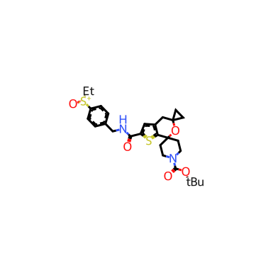 CC[S+]([O-])c1ccc(CNC(=O)c2cc3c(s2)C2(CCN(C(=O)OC(C)(C)C)CC2)OC2(CC2)C3)cc1